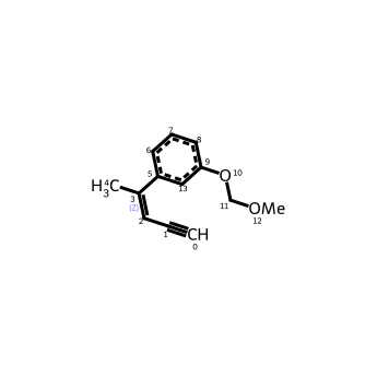 C#C/C=C(/C)c1cccc(OCOC)c1